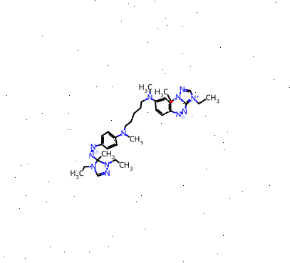 CCN1C=NN(CC)C1(C)/N=N\c1ccc(N(C)CCCCCN(C)c2ccc(/N=N\c3n(CC)nc[n+]3CC)cc2)cc1